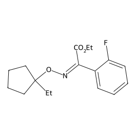 CCOC(=O)/C(=N\OC1(CC)CCCC1)c1ccccc1F